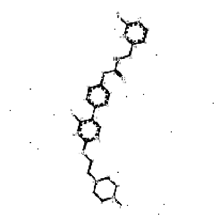 CN1CCN(CCOc2ncc(-c3ccc(CC(=O)NCc4ccnc(F)n4)cc3)c(F)n2)CC1